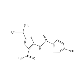 CC(C)c1cc(C(N)=O)c(NC(=O)c2ccc(O)cc2)s1